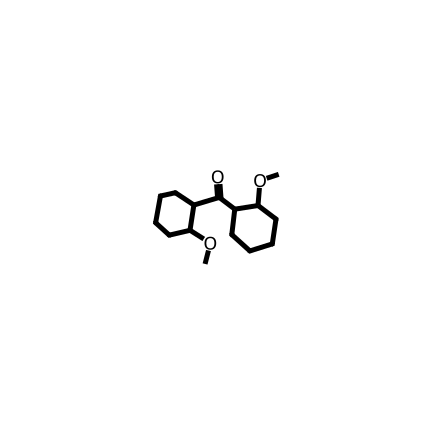 COC1CCCCC1C(=O)C1CCCCC1OC